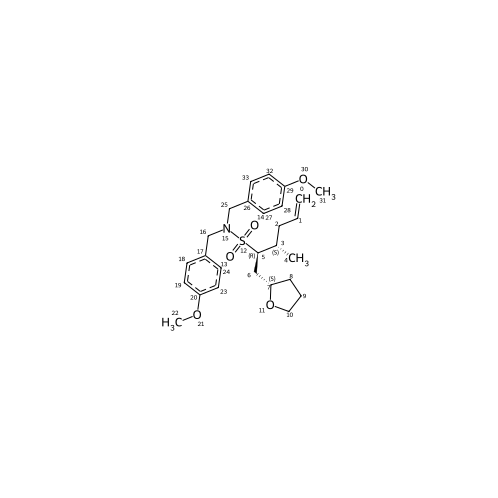 C=CC[C@H](C)[C@@H](C[C@@H]1CCCO1)S(=O)(=O)N(Cc1ccc(OC)cc1)Cc1ccc(OC)cc1